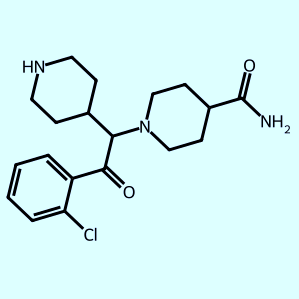 NC(=O)C1CCN(C(C(=O)c2ccccc2Cl)C2CCNCC2)CC1